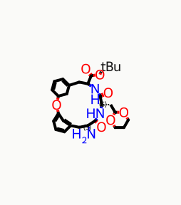 CC(C)(C)OC(=O)C1CC2=CC=CC(C2)Oc2cccc(c2)C[C@H](N)C(=O)N[C@@H](CC2OCCCO2)C(=O)N1